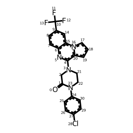 O=C1CN(c2nc3ccc(C(F)(F)F)cc3n3cccc23)CCN1c1ccc(Cl)cc1